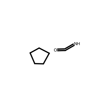 C1CCCC1.N=C=O